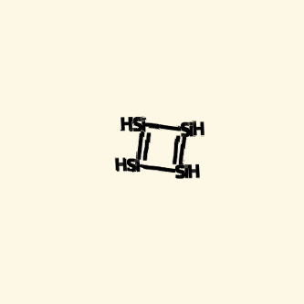 [SiH]1=[SiH][SiH]=[SiH]1